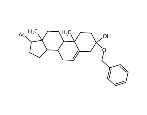 CC(=O)C1CCC2C3CC=C4CC(O)(OCc5ccccc5)CCC4(C)C3CCC12C